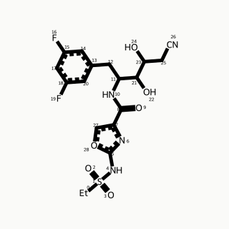 CCS(=O)(=O)Nc1nc(C(=O)NC(Cc2cc(F)cc(F)c2)C(O)C(O)CC#N)co1